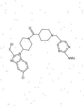 CCSc1nc2cc(Cl)ccc2n1C1CCN(C(=O)C2CCN(Cc3cnc(NC)nc3)CC2)CC1